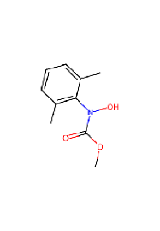 COC(=O)N(O)c1c(C)cccc1C